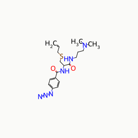 C=CCSCC(NC(=O)c1ccc(N=[N+]=[N-])cc1)C(=O)NCCCN(C)C